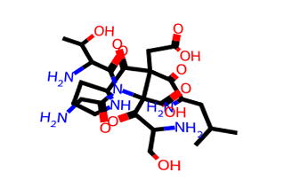 CC(C)CC(N)C(=O)C(CC(=O)O)(C(=O)C1CCCN1)C(C(=O)O)(C(=O)C(N)CO)N(C(=O)CN)C(=O)C(N)C(C)O